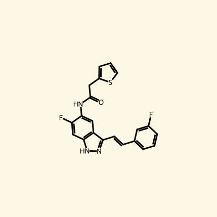 O=C(Cc1cccs1)Nc1cc2c(/C=C/c3cccc(F)c3)n[nH]c2cc1F